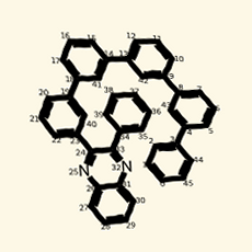 c1ccc(-c2cccc(-c3cccc(-c4cccc(-c5cccc(-c6nc7ccccc7nc6-c6ccccc6)c5)c4)c3)c2)cc1